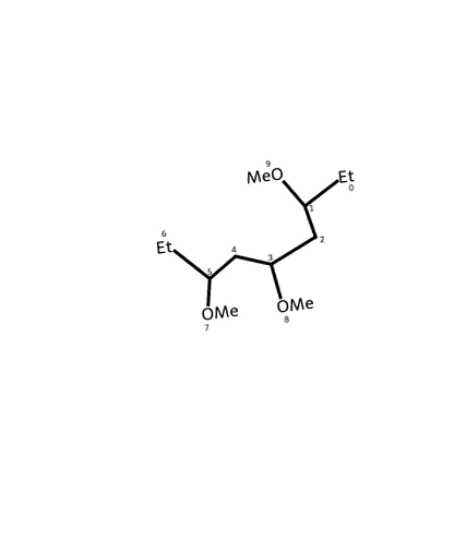 CCC(CC(CC(CC)OC)OC)OC